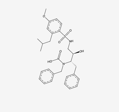 COc1ccc(S(=O)(=O)NC[C@@H](O)[C@H](Cc2ccccc2)N(Cc2ccccc2)C(=O)O)c(CC(C)C)c1